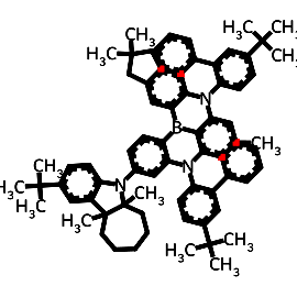 Cc1cc2c3c(c1)N(c1ccc(C(C)(C)C)cc1-c1ccccc1)c1cc4c(cc1B3c1ccc(N3c5ccc(C(C)(C)C)cc5C5(C)CCCCCC35C)cc1N2c1ccc(C(C)(C)C)cc1-c1ccccc1)CC(C)(C)C4